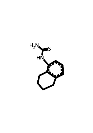 NC(=S)Nc1cccc2c1CCCC2